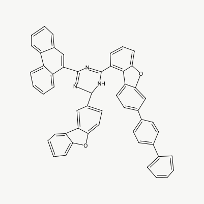 c1ccc(-c2ccc(-c3ccc4c(c3)oc3cccc(C5=NC(c6cc7ccccc7c7ccccc67)=NC(c6ccc7oc8ccccc8c7c6)N5)c34)cc2)cc1